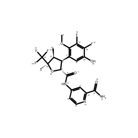 COc1c([C@H]2[C@H](C(=O)Nc3ccnc(C(N)=O)c3)O[C@@](C)(C(F)(F)F)[C@H]2C)cc(O)c(F)c1F